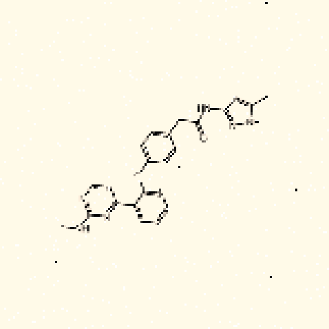 CNc1nccc(-c2cccnc2Oc2ccc(CC(=O)Nc3cc(C)[nH]n3)cc2)n1